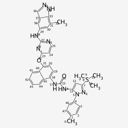 Cc1ccc(-n2nc(S(C)(C)C)cc2NC(=O)Nc2ccc(Oc3ccnc(Nc4cc(C)c5[nH]ncc5c4)n3)c3ccccc23)cc1